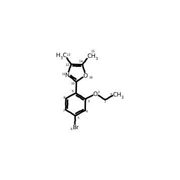 CCOc1cc(Br)ccc1-c1nc(C)c(C)o1